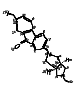 CN1C[C@@H]2CN(c3ccc4c(c3)C(=O)c3cc(I)ccc3-4)C[C@@H]2C1